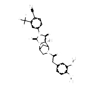 COc1ccc(CC(=O)N2CC3CC2[C@H]2C(=O)N(c4ccc(C#N)c(C(F)(F)F)c4)C(=O)N32)cc1OC